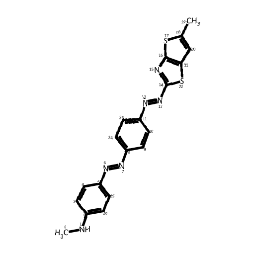 CNc1ccc(N=Nc2ccc(N=Nc3nc4sc(C)cc4s3)cc2)cc1